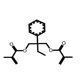 C=C(C)C(=O)OCC(CC)(COC(=O)C(=C)C)c1ccccc1